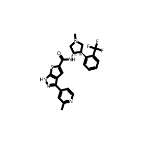 Cc1cc(-c2n[nH]c3sc(C(=O)N[C@@H]4CN(C)C[C@H]4c4ccccc4C(F)(F)F)cc23)ccn1